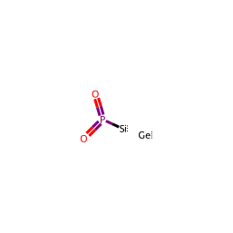 O=P(=O)[Si].[Ge]